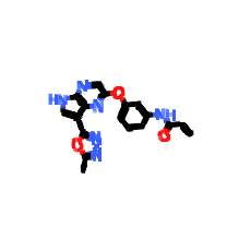 C=CC(=O)Nc1cccc(Oc2cnc3[nH]cc(-c4nnc(C)o4)c3n2)c1